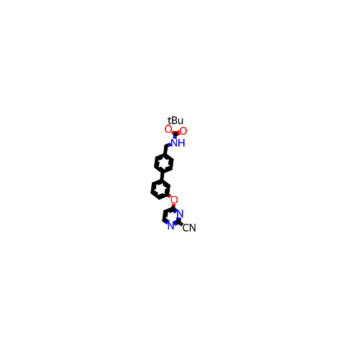 CC(C)(C)OC(=O)NCc1ccc(-c2cccc(Oc3ccnc(C#N)n3)c2)cc1